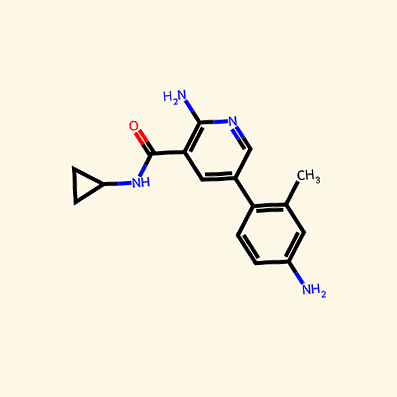 Cc1cc(N)ccc1-c1cnc(N)c(C(=O)NC2CC2)c1